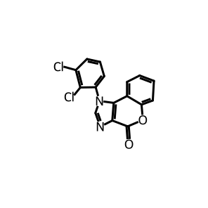 O=c1oc2ccccc2c2c1ncn2-c1cccc(Cl)c1Cl